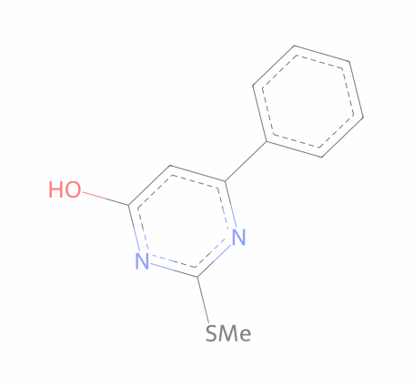 CSc1nc(O)cc(-c2ccccc2)n1